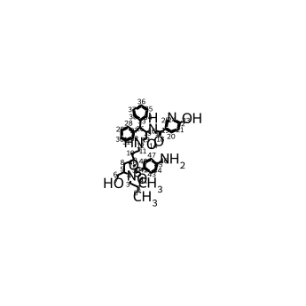 CC(C)CN(C(CO)CCCCNC(=O)C(NC(=O)c1ccc(O)nc1)C(c1ccccc1)c1ccccc1)S(=O)(=O)c1ccc(N)cc1